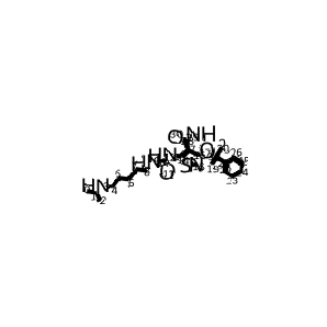 CC(C)NCCCCCNC(=O)Nc1snc(OC(C)(C)c2ccccc2)c1C(N)=O